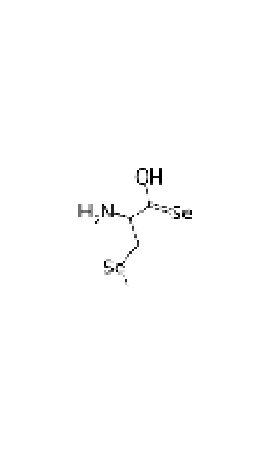 C[Se]C[C@@H](N)C(O)=[Se]